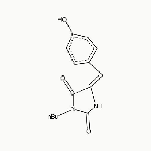 CCCCN1C(=O)NC(=Cc2ccc(O)cc2)C1=O